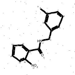 O=C(NCc1cccc(I)c1)c1ccccc1[N+](=O)[O-]